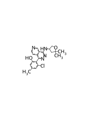 Cc1cc(O)c(-c2nnc(N[C@H]3COC(C)(C)C3)c3cnccc23)c(Cl)c1